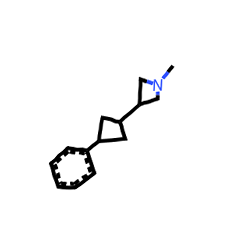 CN1CC(C2CC(c3ccccc3)C2)C1